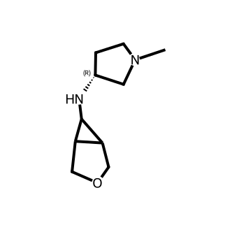 CN1CC[C@@H](NC2C3COCC32)C1